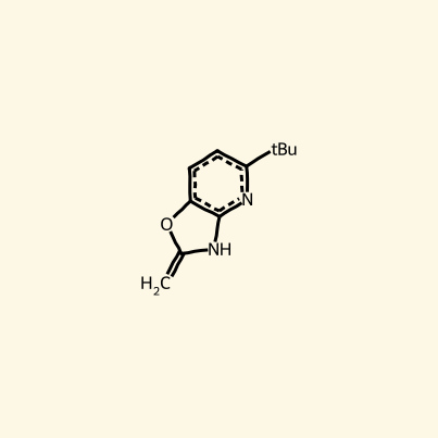 C=C1Nc2nc(C(C)(C)C)ccc2O1